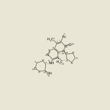 CC(=O)c1c(C)c2cnc(N[C@H]3CCOC[C@@H]3O)nc2n([C@H]2CCC[C@@H]2C)c1=O